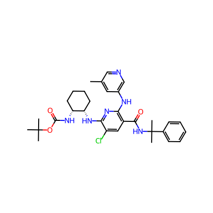 Cc1cncc(Nc2nc(N[C@H]3CCCC[C@H]3NC(=O)OC(C)(C)C)c(Cl)cc2C(=O)NC(C)(C)c2ccccc2)c1